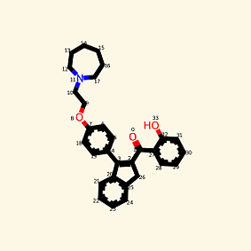 O=C(C1=C(c2ccc(OCCN3CCCCCC3)cc2)c2ccccc2C1)c1ccccc1O